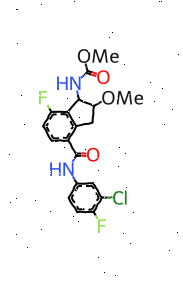 COC(=O)NC1c2c(F)ccc(C(=O)Nc3ccc(F)c(Cl)c3)c2CC1OC